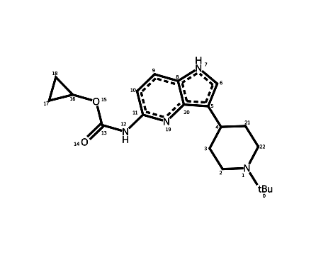 CC(C)(C)N1CCC(c2c[nH]c3ccc(NC(=O)OC4CC4)nc23)CC1